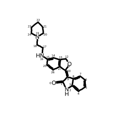 O=C1Nc2ccccc2/C1=C1\OCc2cc(NCCN3CCCCC3)ccc21